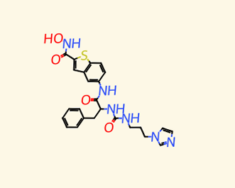 O=C(NCCCn1ccnc1)NC(Cc1ccccc1)C(=O)Nc1ccc2sc(C(=O)NO)cc2c1